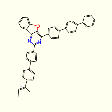 C/C=C(\C)c1ccc(-c2ccc(-c3nc(-c4ccc(-c5ccc(-c6ccccc6)cc5)cc4)c4oc5ccccc5c4n3)cc2)cc1